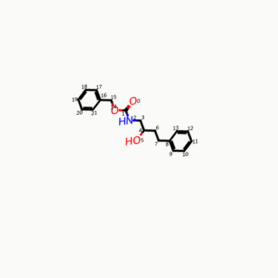 O=C(NCC(O)CCc1ccccc1)OCc1ccccc1